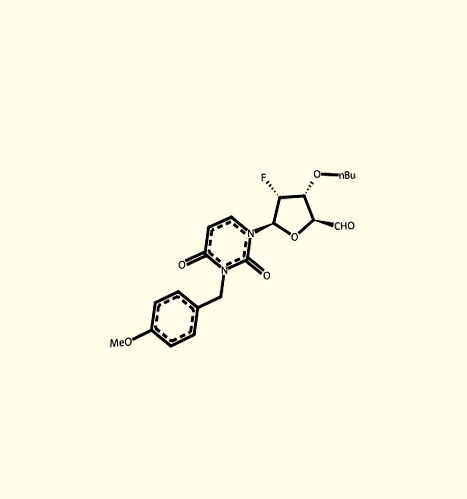 CCCCO[C@H]1[C@@H](F)[C@H](n2ccc(=O)n(Cc3ccc(OC)cc3)c2=O)O[C@@H]1C=O